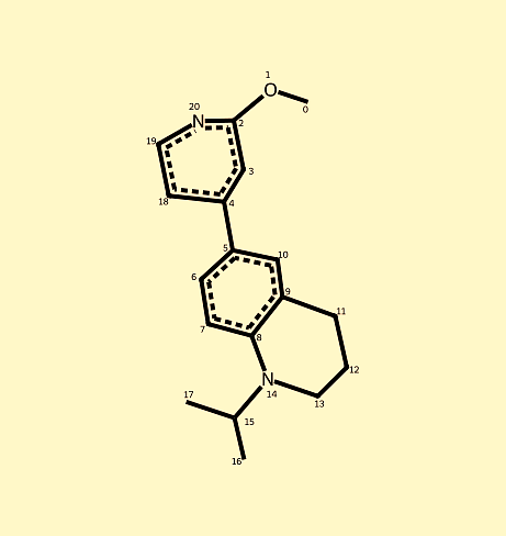 COc1cc(-c2ccc3c(c2)CCCN3C(C)C)ccn1